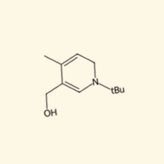 CC1=CCN(C(C)(C)C)C=C1CO